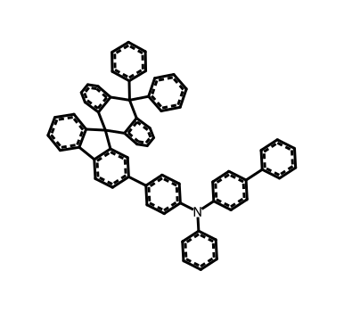 c1ccc(-c2ccc(N(c3ccccc3)c3ccc(-c4ccc5c(c4)C4(c6ccccc6-5)c5ccccc5C(c5ccccc5)(c5ccccc5)c5ccccc54)cc3)cc2)cc1